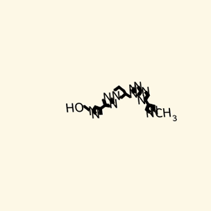 Cn1cc(-c2cnc3nnn(CC4CCCN(c5ncc(-c6cnn(CCO)c6)cn5)C4)c3n2)cn1